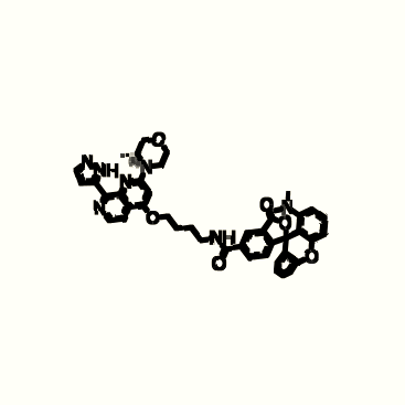 C[C@@H]1COCCN1c1cc(OCCCCNC(=O)c2ccc3c(c2)C(=O)OC32c3ccccc3Oc3cccc(N(C)C)c32)c2ccnc(-c3ccn[nH]3)c2n1